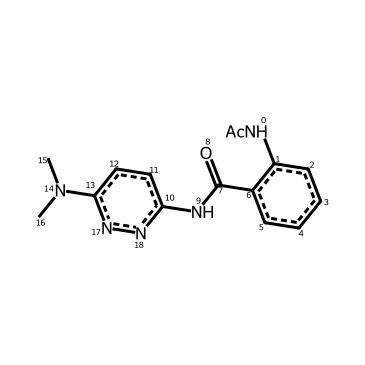 CC(=O)Nc1ccccc1C(=O)Nc1ccc(N(C)C)nn1